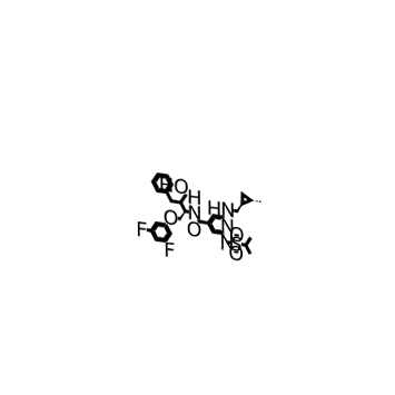 CC(C)S(=O)(=O)N(C)c1cc(C(=O)N[C@@H](COc2cc(F)cc(F)c2)C(CO)Cc2ccccc2)cc(NC[C@H]2C[C@@H]2C)n1